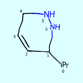 CC(C)C1C=CCNN1